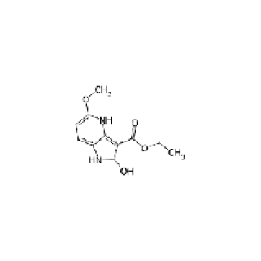 CCOC(=O)C1=C2NC(OC)=CC=C2NC1O